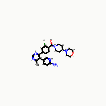 CCc1ncnc(-c2ccc(C(=O)N3CCC(N4CCOCC4)CC3)c(F)c2)c1-c1ccc(N)nc1